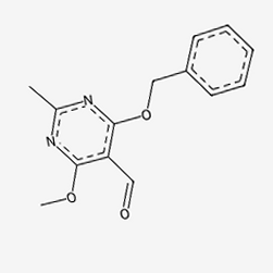 COc1nc(C)nc(OCc2ccccc2)c1C=O